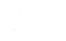 CCC[CH]CC(CCCC)c1ccccc1